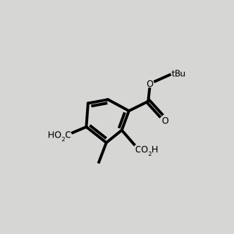 Cc1c(C(=O)O)ccc(C(=O)OC(C)(C)C)c1C(=O)O